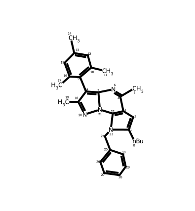 CCCCc1cc2c(C)nc3c(-c4c(C)cc(C)cc4C)c(C)nn3c2n1Cc1ccccc1